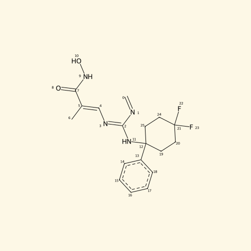 C=N/C(=N\C=C(/C)C(=O)NO)NC1(c2ccccc2)CCC(F)(F)CC1